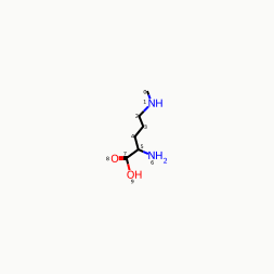 CNCCCC(N)C(=O)O